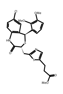 COC(=O)CCc1cnc(C[C@H]2S[C@H](c3cccc(OC)c3OC)c3cc(Cl)ccc3NC2=O)s1